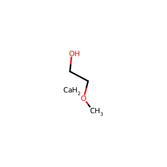 COCCO.[CaH2]